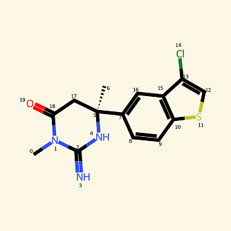 CN1C(=N)N[C@](C)(c2ccc3scc(Cl)c3c2)CC1=O